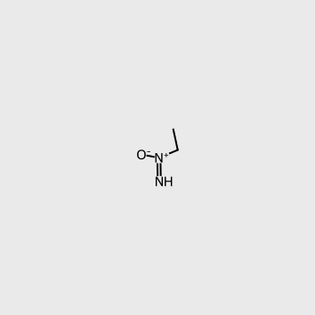 CC[N+](=N)[O-]